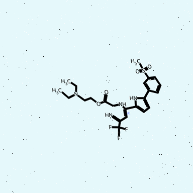 CCN(CC)CCOC(=O)CN/C(=C\C(=N)C(F)(F)F)c1ccc(-c2cccc(S(C)(=O)=O)c2)[nH]1